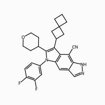 N#Cc1c2[nH]ncc2cc2c1c(C1CC3(CCC3)C1)c(C1CCOCC1)n2-c1ccc(F)c(F)c1